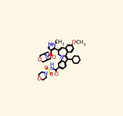 COc1ccc2c(c1)C=C(c1c(C(=O)N3C4COCC3COC4)cnn1C)Cn1c-2c(C2CCCCC2)c2ccc(C(=O)NS(=O)(=O)N3CCOCC3)cc21